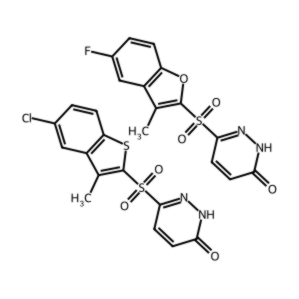 Cc1c(S(=O)(=O)c2ccc(=O)[nH]n2)oc2ccc(F)cc12.Cc1c(S(=O)(=O)c2ccc(=O)[nH]n2)sc2ccc(Cl)cc12